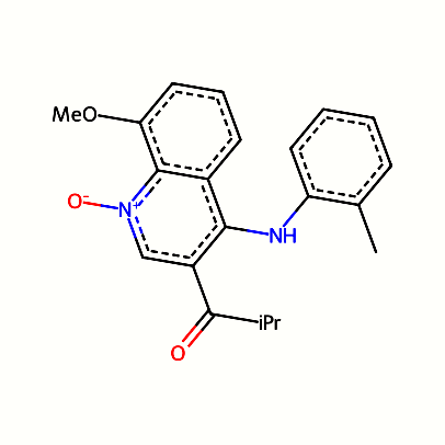 COc1cccc2c(Nc3ccccc3C)c(C(=O)C(C)C)c[n+]([O-])c12